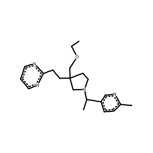 CCOCC1(CCc2ncccn2)CCN(C(C)c2ccc(C)nc2)C1